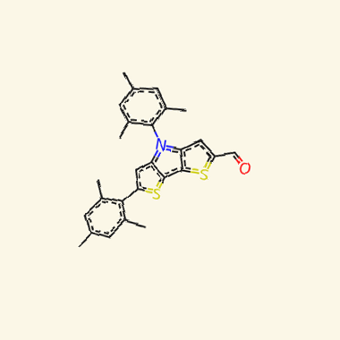 Cc1cc(C)c(-c2cc3c(s2)c2sc(C=O)cc2n3-c2c(C)cc(C)cc2C)c(C)c1